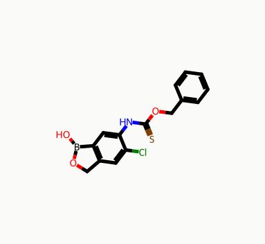 OB1OCc2cc(Cl)c(NC(=S)OCc3ccccc3)cc21